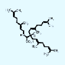 CC(C)=CCC/C(C)=C/CN[C@H](C(=O)O)C(S)(C/C=C(\C)CCC=C(C)C)C/C=C(\C)CCC=C(C)C